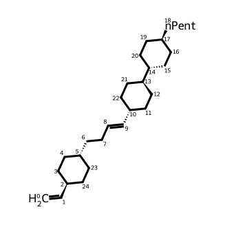 C=C[C@H]1CC[C@H](CCC=C[C@H]2CC[C@H]([C@H]3CC[C@H](CCCCC)CC3)CC2)CC1